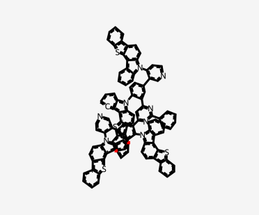 c1ccc(-c2nc(-c3cc(-c4cnccc4-n4c5ccccc5c5c6sc7ccccc7c6ccc54)ccc3-n3c4ccccc4c4c5sc6ccccc6c5ccc43)cc(-c3cc(-c4cnccc4-n4c5ccccc5c5c6sc7ccccc7c6ccc54)ccc3-n3c4ccccc4c4c5sc6ccccc6c5ccc43)n2)cc1